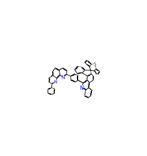 c1ccc(-c2ccc3ccc4ccc(-c5ccc(-c6nc7ccccc7c7ccc8c(c67)-c6ccccc6C86c7ccccc7Sc7ccccc76)cc5)nc4c3n2)cc1